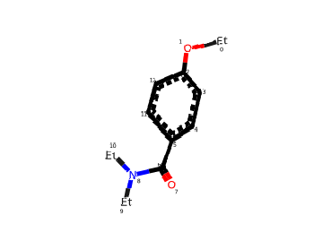 CCOc1ccc(C(=O)N(CC)CC)cc1